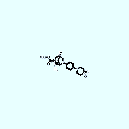 CC(C)(C)OC(=O)N1CC2N(c3ccc(N4CCS(=O)(=O)CC4)cc3)C[C@@H](C1)CC2(C)C